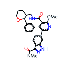 CNC(=O)c1n[nH]c2cc(-c3cnc(OC)c(C(=O)NCC4CCCOC4c4ccccc4)c3)ccc12